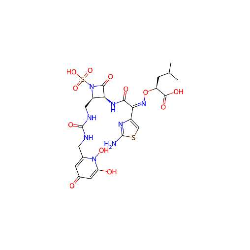 CC(C)C[C@H](O/N=C(\C(=O)N[C@@H]1C(=O)N(S(=O)(=O)O)[C@@H]1CNC(=O)NCc1cc(=O)cc(O)n1O)c1csc(N)n1)C(=O)O